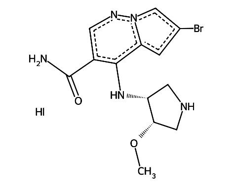 CO[C@H]1CNC[C@H]1Nc1c(C(N)=O)cnn2cc(Br)cc12.I